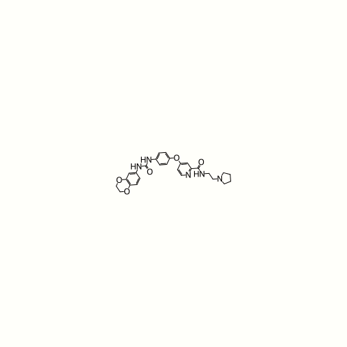 O=C(Nc1ccc(Oc2ccnc(C(=O)NCCN3CCCC3)c2)cc1)Nc1ccc2c(c1)OCCO2